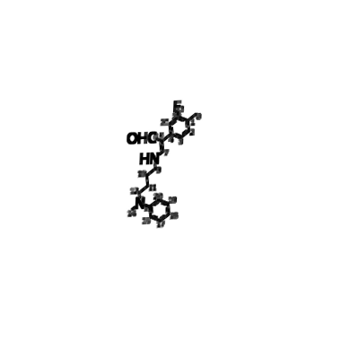 Cc1ccc(/C(C=O)=C/NCCCCN(C)c2ccccc2)cc1F